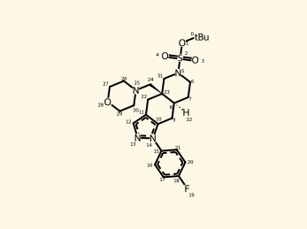 CC(C)(C)OS(=O)(=O)N1CC[C@H]2Cc3c(cnn3-c3ccc(F)cc3)C[C@]2(CN2CCOCC2)C1